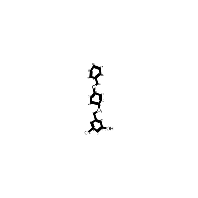 Oc1cc(Cl)cc(COc2ccc(OCc3ccccc3)cc2)c1